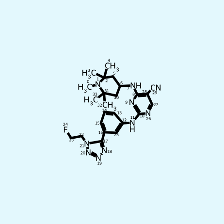 CN1C(C)(C)CC(Nc2nc(Nc3cccc(-c4nnnn4CCF)c3)ncc2C#N)CC1(C)C